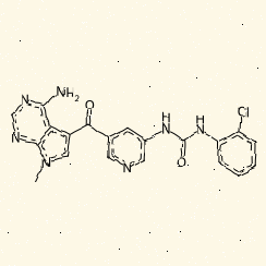 Cn1cc(C(=O)c2cncc(NC(=O)Nc3ccccc3Cl)c2)c2c(N)ncnc21